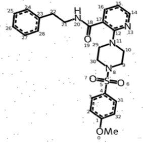 COc1ccc(S(=O)(=O)N2CCN(c3ncccc3C(=O)NCCc3ccccc3)CC2)cc1